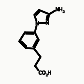 Nc1ccn(-c2cccc(CCC(=O)O)c2)n1